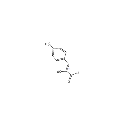 Cc1ccc(/C=C(\C#N)C(=O)Cl)cc1